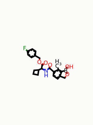 Cc1c(C(=O)NC(C(=O)OCc2ccc(F)cc2)C2CCC2)ccc2c1B(O)OC2